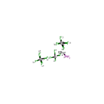 CC(C)(C)P.F[B-](F)(F)F.F[B-](F)(F)F.F[B-](F)(F)F